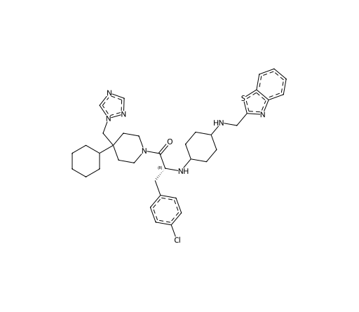 O=C([C@@H](Cc1ccc(Cl)cc1)NC1CCC(NCc2nc3ccccc3s2)CC1)N1CCC(Cn2cncn2)(C2CCCCC2)CC1